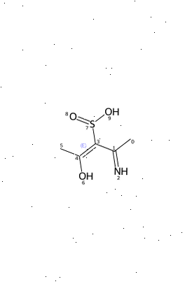 CC(=N)/C(=C(/C)O)S(=O)O